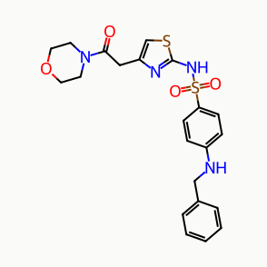 O=C(Cc1csc(NS(=O)(=O)c2ccc(NCc3ccccc3)cc2)n1)N1CCOCC1